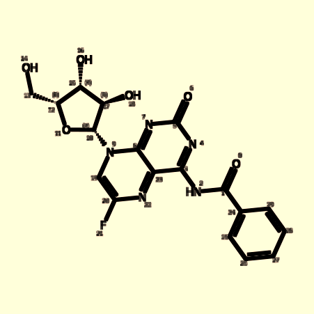 O=C(Nc1nc(=O)nc2n([C@@H]3O[C@H](CO)[C@H](O)[C@H]3O)cc(F)nc1-2)c1ccccc1